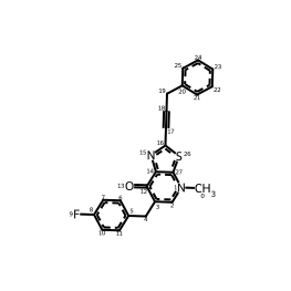 Cn1cc(Cc2ccc(F)cc2)c(=O)c2nc(C#CCc3ccccc3)sc21